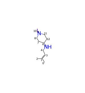 CC(C)=CCNC1CCN(I)CC1